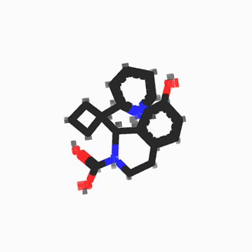 O=C(O)N1CCc2ccc(O)cc2C1C1(c2ccccn2)CCC1